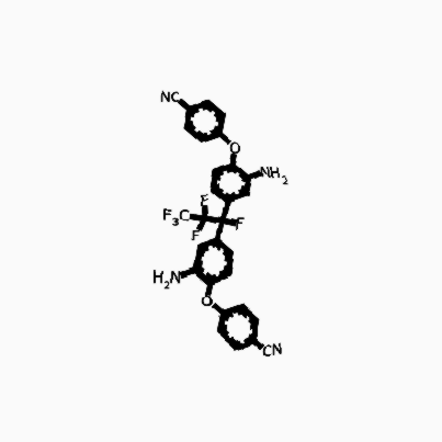 N#Cc1ccc(Oc2ccc(C(F)(c3ccc(Oc4ccc(C#N)cc4)c(N)c3)C(F)(F)C(F)(F)F)cc2N)cc1